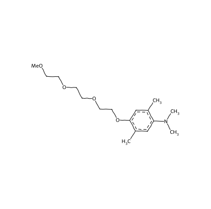 COCCOCCOCCOc1cc(C)c(N(C)C)cc1C